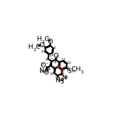 COc1ccc(C/C(C(=O)c2ccc(SC)cc2)=C(\C(=O)[O-])c2ccc3nsnc3c2)cc1OC.[Na+]